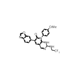 COc1ccc(-n2c3c(cc(-c4ccc5ncoc5c4)c2=O)C=NC(NCC(F)(F)F)N3)cc1